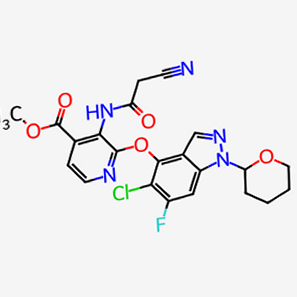 COC(=O)c1ccnc(Oc2c(Cl)c(F)cc3c2cnn3C2CCCCO2)c1NC(=O)CC#N